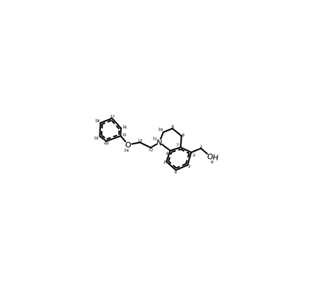 OCc1cccc2c1CCCN2CCOc1ccccc1